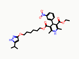 CCOC(=O)C1=C(C)NC(C)=C(C(=O)OCCCCCCOc2cc(C(C)C)[nH]n2)C1c1cccc([N+](=O)[O-])c1